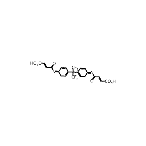 O=C(O)C=CC(=O)N=C1C=CC(C(C2=CCC(=NC(=O)C=CC(=O)O)C=C2)(C(F)(F)F)C(F)(F)F)=CC1